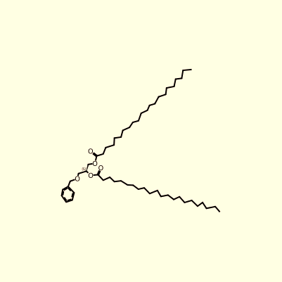 CCCCCCCCCCCCCCCCCCCCCC(=O)OC[C@H](COCc1ccccc1)OC(=O)CCCCCCCCCCCCCCCCCCCCC